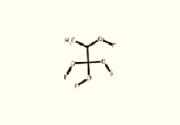 C[C](OF)C(OF)(OF)OF